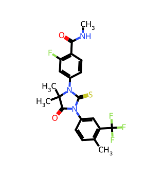 CNC(=O)c1ccc(N2C(=S)N(c3ccc(C)c(C(F)(F)F)c3)C(=O)C2(C)C)cc1F